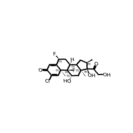 C[C@@H]1CC2[C@@H]3C[C@H](F)C4=CC(=O)C(Cl)=C[C@]4(C)[C@@]3(F)[C@@H](O)C[C@]2(C)[C@@]1(O)C(=O)CO